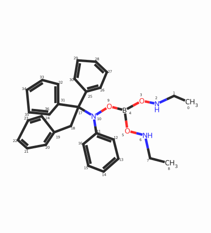 CCNOB(ONCC)ON(c1ccccc1)C(Cc1ccccc1)(c1ccccc1)c1ccccc1